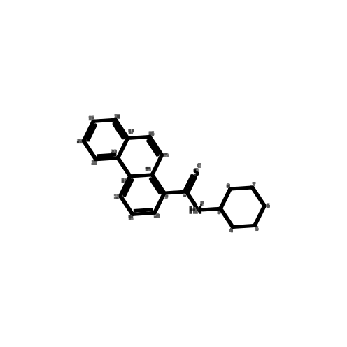 S=C(NC1CCCCC1)c1cccc2c1ccc1ccccc12